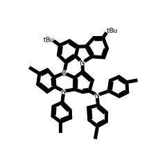 Cc1ccc(N(c2ccc(C)cc2)c2cc3c4c(c2)-n2c5ccc(C(C)(C)C)cc5c5cc(C(C)(C)C)cc(c52)B4c2cc(C)ccc2N3c2ccc(C)cc2)cc1